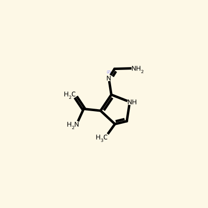 C=C(N)c1c(C)c[nH]c1/N=C\N